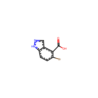 O=C(O)c1c(Br)ccc2[nH]ncc12